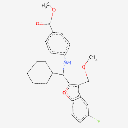 COCc1c(C(Nc2ccc(C(=O)OC)cc2)C2CCCCC2)oc2ccc(F)cc12